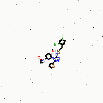 COc1ccc(N2CCC2=O)cc1-n1c(NSCCc2ccc(F)cc2Br)nnc1-c1cccs1